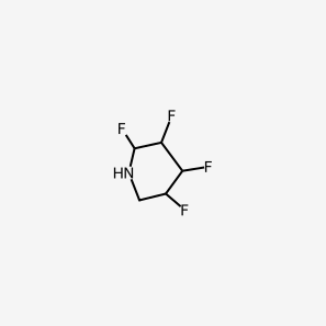 FC1CNC(F)C(F)C1F